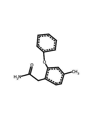 Cc1ccc(CC(N)=O)c(Oc2ccccc2)c1